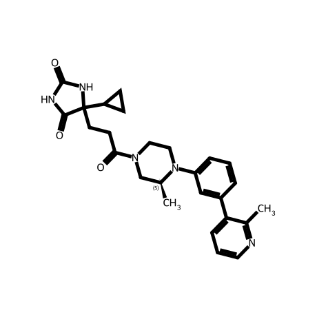 Cc1ncccc1-c1cccc(N2CCN(C(=O)CCC3(C4CC4)NC(=O)NC3=O)C[C@@H]2C)c1